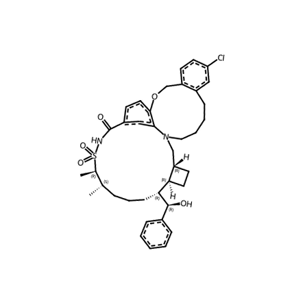 C[C@@H]1[C@@H](C)CCC[C@@H]([C@@H](O)c2ccccc2)[C@@H]2CC[C@H]2CN2CCCCc3cc(Cl)ccc3COc3ccc(cc32)C(=O)NS1(=O)=O